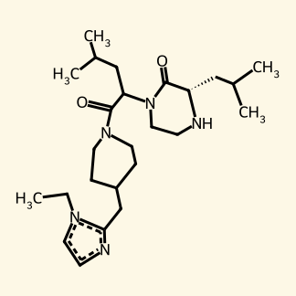 CCn1ccnc1CC1CCN(C(=O)C(CC(C)C)N2CCN[C@@H](CC(C)C)C2=O)CC1